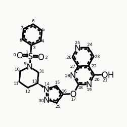 O=S(=O)(c1ccccc1)N1CCC[C@H](n2cc(Oc3nc(O)c4ccncc4n3)cn2)C1